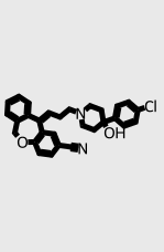 N#Cc1ccc2c(c1)C(=CCCN1CCC(O)(c3ccc(Cl)cc3)CC1)c1ccccc1CO2